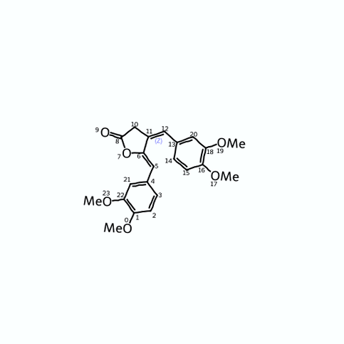 COc1ccc(C=C2OC(=O)C/C2=C/c2ccc(OC)c(OC)c2)cc1OC